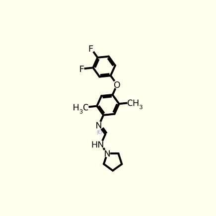 Cc1cc(Oc2ccc(F)c(F)c2)c(C)cc1/N=C/NN1CCCC1